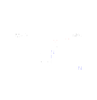 CCCCOc1ccc(-c2ccccn2)cc1C(=O)Nc1cc(-c2ccccc2OC)ccc1C(=O)O